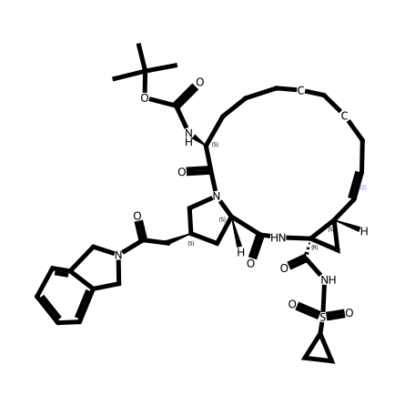 CC(C)(C)OC(=O)N[C@H]1CCCCCCC/C=C\[C@@H]2C[C@@]2(C(=O)NS(=O)(=O)C2CC2)NC(=O)[C@@H]2C[C@@H](CC(=O)N3Cc4ccccc4C3)CN2C1=O